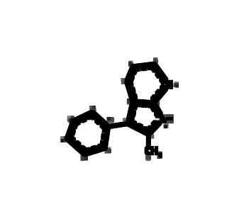 Cc1[nH]c2ncccc2c1-c1c[c]ccc1